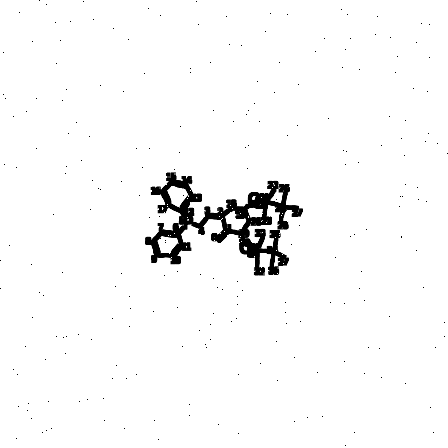 C=C1/C(=C\CP(c2ccccc2)c2ccccc2)C[C@@H](O[Si](C)(C)C(C)(C)C)C[C@@H]1O[Si](C)(C)C(C)(C)C